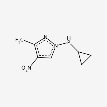 O=[N+]([O-])c1cn(PC2CC2)nc1C(F)(F)F